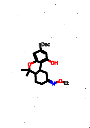 CCCCCCCCCCc1cc(O)c2c(c1)OC(C)(C)C1CC/C(=N/OCC)CC21